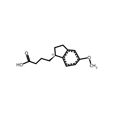 COc1ccc2c(c1)CC[C@@H]2CCCC(=O)O